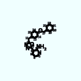 Nc1ncccc1-c1nnc(Cc2ccc(OCc3ccccc3)cc2)o1